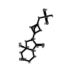 CS(=O)(=O)CC12CC(N3C[C@H]4CNCCN4C3=O)(C1)C2